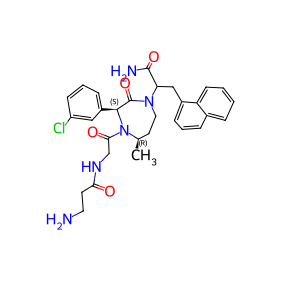 C[C@@H]1CCN(C(Cc2cccc3ccccc23)C(N)=O)C(=O)[C@H](c2cccc(Cl)c2)N1C(=O)CNC(=O)CCN